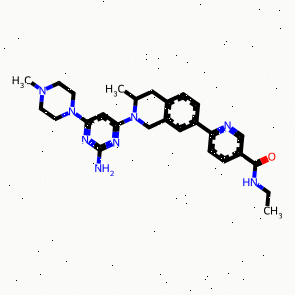 CCNC(=O)c1ccc(-c2ccc3c(c2)CN(c2cc(N4CCN(C)CC4)nc(N)n2)C(C)C3)nc1